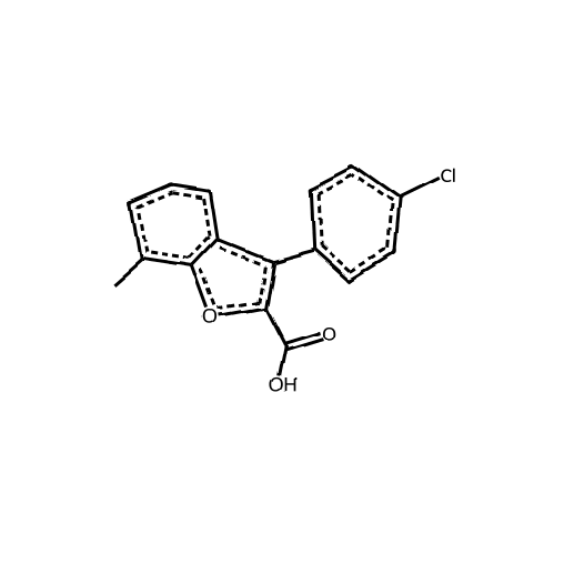 Cc1cccc2c(-c3ccc(Cl)cc3)c(C(=O)O)oc12